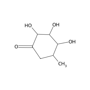 CC1CC(=O)C(O)C(O)C1O